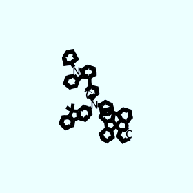 CC1(C)c2ccccc2-c2ccc(N(c3ccc(-c4cccc5c4C4(c6ccccc6-c6ccccc64)c4ccccc4-5)cc3)c3ccc(-c4cccc5c4c4ccccc4n5-c4ccccc4)cc3)cc21